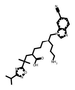 CC(C)c1noc(C(C)(C)CC(CCC[C@H](CCCN)Cn2cnc3ccc(C#N)cc32)C(=O)O)n1